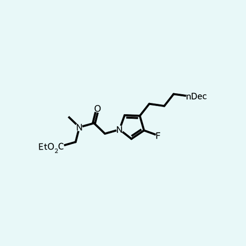 CCCCCCCCCCCCCc1cn(CC(=O)N(C)CC(=O)OCC)cc1F